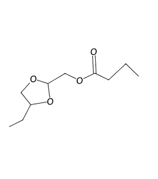 CCCC(=O)OCC1OCC(CC)O1